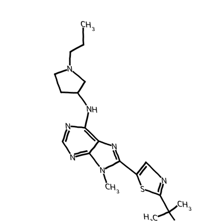 CCCN1CCC(Nc2ncnc3c2nc(-c2cnc(C(C)(C)C)s2)n3C)C1